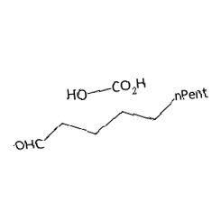 CCCCCCCCC[C]=O.O=C(O)O